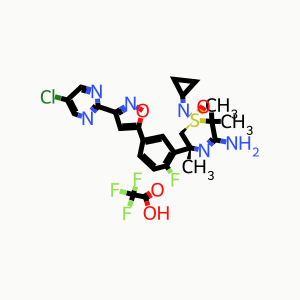 CC1(C)C(N)=N[C@](C)(c2cc(-c3cc(-c4ncc(Cl)cn4)no3)ccc2F)C[S@]1(=O)=NC1CC1.O=C(O)C(F)(F)F